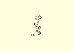 CNCCC(Oc1ccccc1N(C)C(=O)CN1CCC2(CC1)c1ccccc1CCN2C)c1cccs1